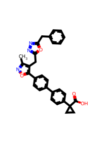 Cc1noc(-c2ccc(-c3ccc(C4(C(=O)O)CC4)cc3)cc2)c1Cc1nnc(Cc2ccccc2)o1